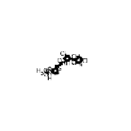 CC(C)(c1ccc(Cl)cc1)c1cc(Cl)cc(NC(=O)c2cc3cc(NS(C)(=O)=O)ccc3s2)c1